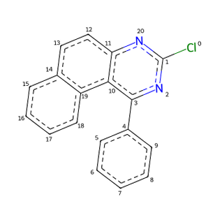 Clc1nc(-c2ccccc2)c2c(ccc3ccccc32)n1